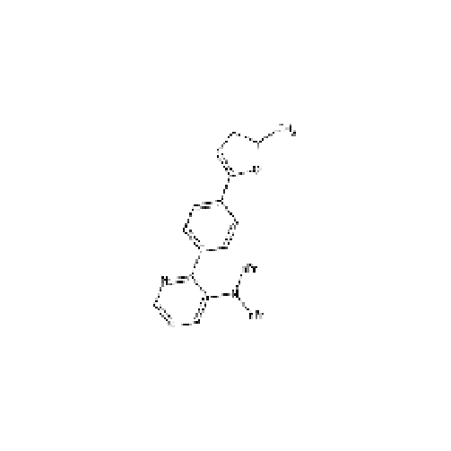 CCCN(CCC)c1cccnc1-c1ccc(C2=CCC(C)O2)cc1